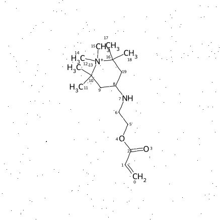 C=CC(=O)OCCNC1CC(C)(C)[N+](C)(C)C(C)(C)C1